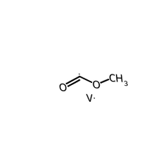 CO[C]=O.[V]